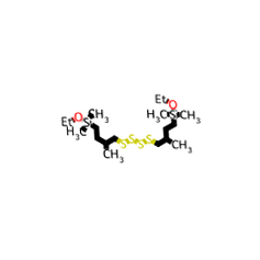 CCO[Si](C)(C)CCC(C)CSSSSCC(C)CC[Si](C)(C)OCC